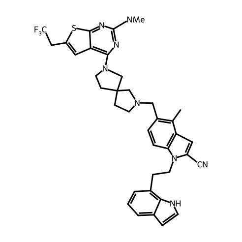 CNc1nc(N2CCC3(CCN(Cc4ccc5c(cc(C#N)n5CCc5cccc6cc[nH]c56)c4C)C3)C2)c2cc(CC(F)(F)F)sc2n1